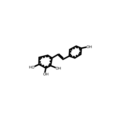 Oc1ccc(C=Cc2ccc(O)c(O)c2O)cc1